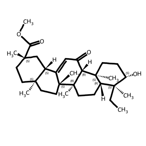 CC[C@@]1(C)[C@@H]2CC[C@]3(C)[C@H](C(=O)C=C4[C@H]5C[C@@](C)(C(=O)OC)CC[C@]5(C)CC[C@]43C)[C@@]2(C)CC[C@@H]1O